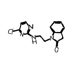 O=C1Cc2ccccc2N1CCNc1nccc(Cl)n1